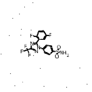 NS(=O)(=O)c1ccc(-n2nc(C(F)(F)F)nc2-c2cc(F)ccc2F)cc1